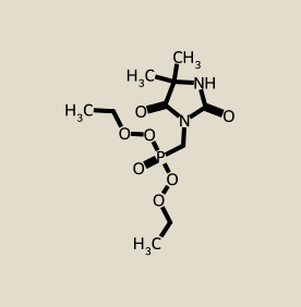 CCOOP(=O)(CN1C(=O)NC(C)(C)C1=O)OOCC